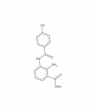 COC(=O)c1cccc(NC(=O)c2ccc(C#N)cc2)c1N